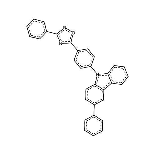 c1ccc(-c2ccc3c(c2)c2ccccc2n3-c2ccc(-c3nc(-c4ccccc4)no3)cc2)cc1